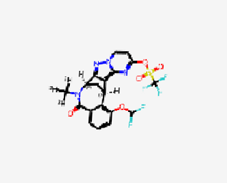 [2H]C([2H])([2H])N1C(=O)c2cccc(OC(F)F)c2[C@H]2C[C@@H]1c1nn3ccc(OS(=O)(=O)C(F)(F)F)nc3c12